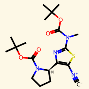 [C-]#[N+]c1sc(N(C)C(=O)OC(C)(C)C)nc1[C@H]1CCCN1C(=O)OC(C)(C)C